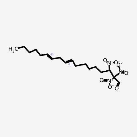 CCCCC/C=C/C/C=C/CCCCCC([N+](=O)[O-])C([C]=O)([N+](=O)[O-])[N+](=O)[O-]